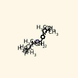 C=C(/C=C\C(=C)N(C)CCC(C)(C)CC(=C)C(F)(F)F)Cc1ccc(N2C=C(C(C)=O)C(C)(C)CC2)cc1